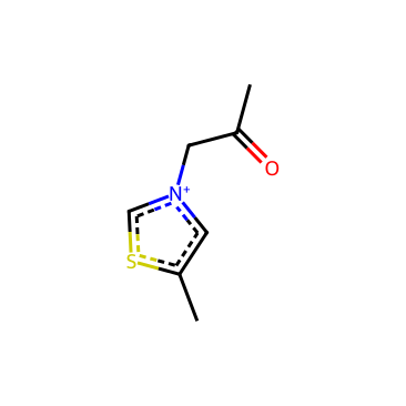 CC(=O)C[n+]1csc(C)c1